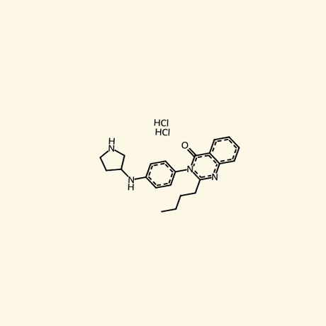 CCCCc1nc2ccccc2c(=O)n1-c1ccc(NC2CCNC2)cc1.Cl.Cl